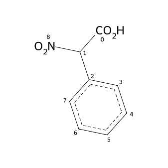 O=C(O)C(c1ccccc1)[N+](=O)[O-]